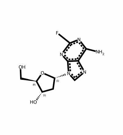 Nc1nc(F)nc2c1ncn2[C@@H]1C[C@H](O)[C@@H](CO)O1